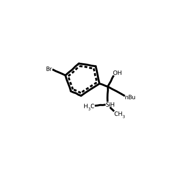 CCCCC(O)(c1ccc(Br)cc1)[SiH](C)C